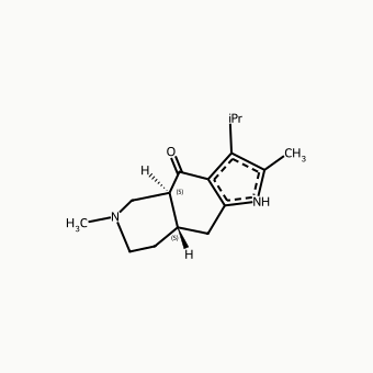 Cc1[nH]c2c(c1C(C)C)C(=O)[C@@H]1CN(C)CC[C@H]1C2